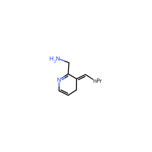 CCCC=C1CC=CN=C1CN